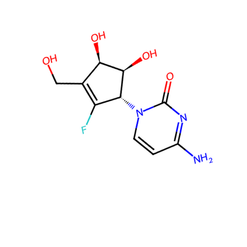 Nc1ccn([C@@H]2C(F)=C(CO)[C@@H](O)[C@H]2O)c(=O)n1